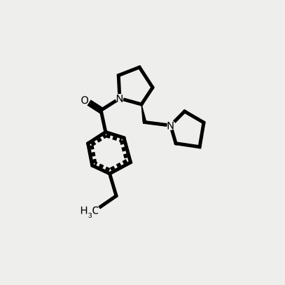 CCc1ccc(C(=O)N2CCC[C@H]2CN2CCCC2)cc1